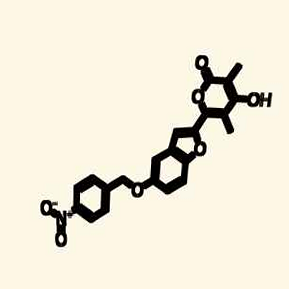 Cc1c(-c2cc3cc(OCc4ccc([N+](=O)[O-])cc4)ccc3o2)oc(=O)c(C)c1O